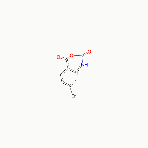 CCc1ccc2c(=O)oc(=O)[nH]c2c1